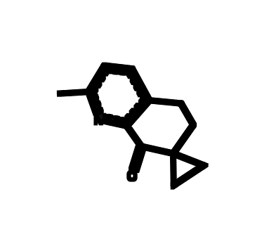 Cc1ccc2c(n1)C(=O)C1(CC2)CC1